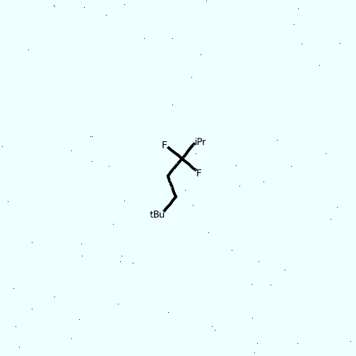 CC(C)C(F)(F)CCC(C)(C)C